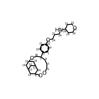 c1cc(C2CCCOOC3CC4CC(CC(C4)OC2)C3)ccc1OCCCNC1CCOCC1